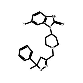 CC1(c2ccccc2)CC(CN2CCC(n3c(=O)[nH]c4ccc(Cl)cc43)CC2)=NO1